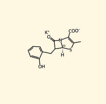 CC1=C(C(=O)[O-])N2C(=O)C(Cc3ccccc3O)[C@@H]2S1.[K+]